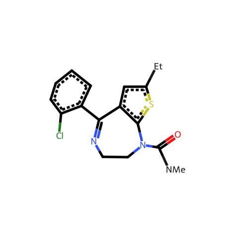 CCc1cc2c(s1)N(C(=O)NC)CCN=C2c1ccccc1Cl